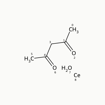 CC(=O)CC(C)=O.O.[Ce]